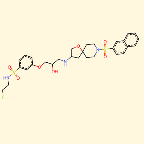 O=S(=O)(NCCF)c1cccc(OCC(O)CNC2COC3(CCN(S(=O)(=O)c4ccc5ccccc5c4)CC3)C2)c1